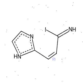 N=C(I)/C=C\c1ncc[nH]1